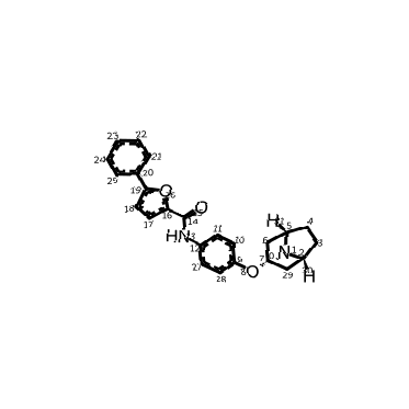 CN1[C@@H]2CC[C@H]1C[C@@H](Oc1ccc(NC(=O)c3ccc(-c4ccccc4)o3)cc1)C2